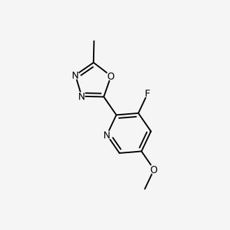 COc1cnc(-c2nnc(C)o2)c(F)c1